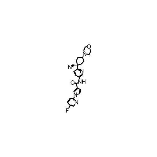 N#C[C@]1(c2ccc(NC(=O)c3ccn(-c4ccc(F)cn4)c3)cn2)CC[C@H](N2CCOCC2)CC1